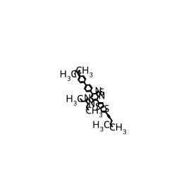 CCc1nc2c(-c3ccc(-c4ccc(N(C)C)cc4)cc3)c3nsnc3c(-c3cc4sc(C#CCC(C)C)cc4s3)c2nc1CC